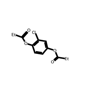 CCC(=O)Oc1ccc(OC(=O)CC)c(Cl)c1